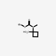 CN(C(=O)OC(C)(C)C)C1(C(=O)O)CCC1